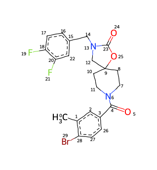 Cc1cc(C(=O)N2CCC3(CC2)CN(Cc2ccc(F)c(F)c2)C(=O)O3)ccc1Br